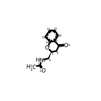 CC(=O)NC[C@@H]1CC(=O)c2ccccc2O1